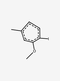 COc1cc(C)ccc1I